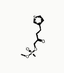 COP(C)(=O)OCC(=O)CCc1ccsc1